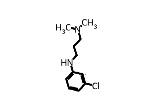 CN(C)CCCNc1[c]c(Cl)ccc1